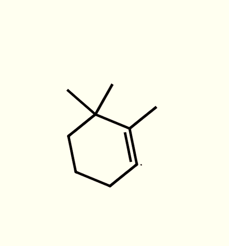 CC1=[C]CCCC1(C)C